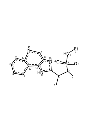 CCNS(=O)(=O)C(C)C(C)c1nc2cnc3ccccc3c2[nH]1